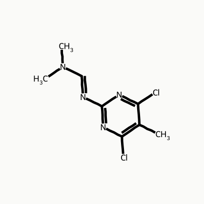 Cc1c(Cl)nc(/N=C/N(C)C)nc1Cl